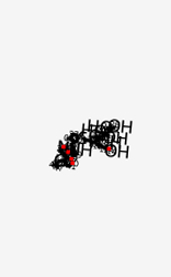 Cc1ccc(SCCCN(CCCCO)C(=O)C(O)C(O)C(O)C(O)CO)cc1CNC1(c2cnccc2-c2ccccc2OC2CC2)CC1